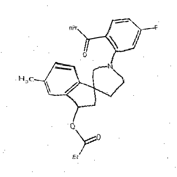 CCCC(=O)c1ccc(F)cc1N1CCC2(CC(OC(=O)CC)c3cc(C)ccc32)C1